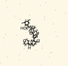 Cc1cc(C)cc([C@@H](CO)NC(=O)C(C)n2cnn3cc(-c4nc(NC5CCOCC5)ncc4Cl)cc3c2=O)c1